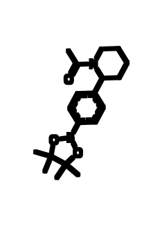 CC(=O)N1CCCCC1c1ccc(B2OC(C)(C)C(C)(C)O2)cc1